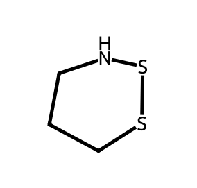 C1CNSSC1